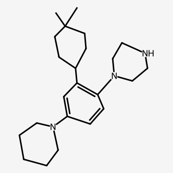 CC1(C)CCC(c2cc(N3CCCCC3)ccc2N2CCNCC2)CC1